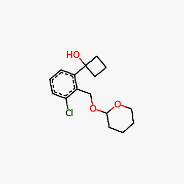 OC1(c2cccc(Cl)c2COC2CCCCO2)CCC1